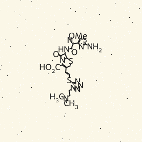 CON=C(C(=O)NC1C(=O)N2C(C(=O)O)=C(C=CSc3nnnn3CCN(C)C)CSC12)c1csc(N)n1